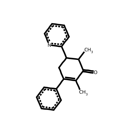 CC1=C(c2ccccc2)CC(c2ccccn2)C(C)C1=O